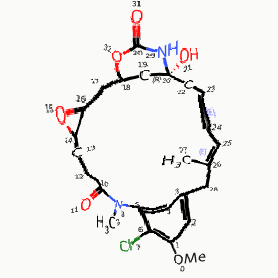 COc1cc2cc(c1Cl)N(C)C(=O)CCC1OC1CC1C[C@](O)(C/C=C/C=C(\C)C2)NC(=O)O1